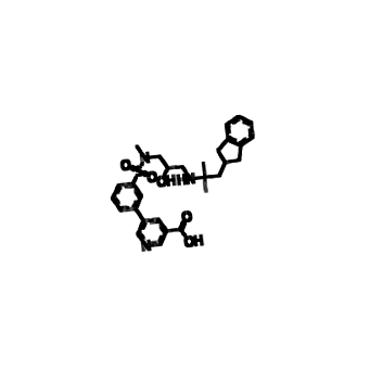 CN(CC(O)CNC(C)(C)CC1Cc2ccccc2C1)S(=O)(=O)c1cccc(-c2cncc(C(=O)O)c2)c1